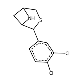 Clc1ccc(C2SCC3CC2N3)cc1Cl